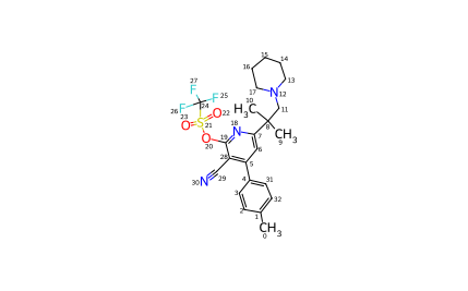 Cc1ccc(-c2cc(C(C)(C)CN3CCCCC3)nc(OS(=O)(=O)C(F)(F)F)c2C#N)cc1